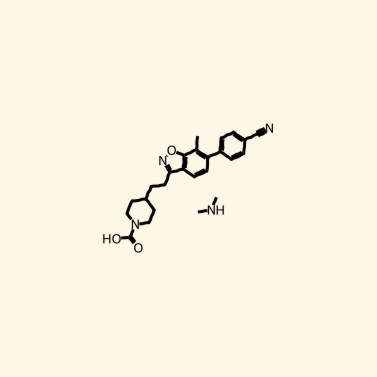 CNC.Cc1c(-c2ccc(C#N)cc2)ccc2c(CCC3CCN(C(=O)O)CC3)noc12